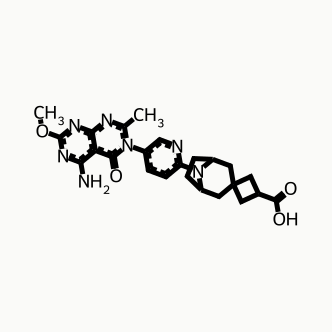 COc1nc(N)c2c(=O)n(-c3ccc(N4C5CCC4CC4(CC(C(=O)O)C4)C5)nc3)c(C)nc2n1